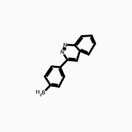 Bc1ccc(-c2cc3ccccc3nn2)cc1